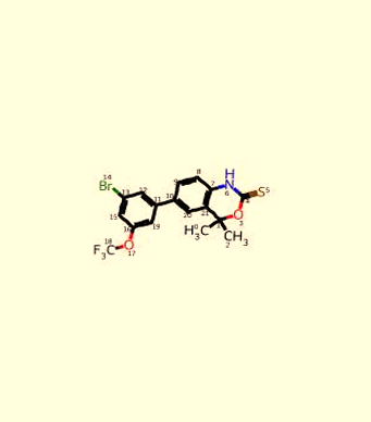 CC1(C)OC(=S)Nc2ccc(-c3cc(Br)cc(OC(F)(F)F)c3)cc21